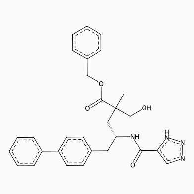 CC(CO)(C[C@@H](Cc1ccc(-c2ccccc2)cc1)NC(=O)c1cnn[nH]1)C(=O)OCc1ccccc1